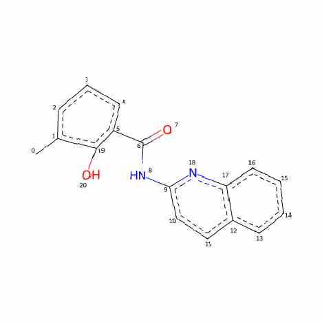 Cc1cccc(C(=O)Nc2ccc3ccccc3n2)c1O